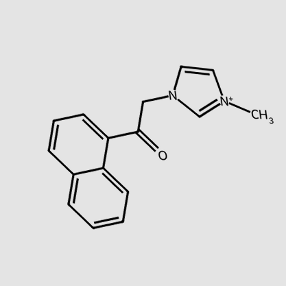 C[n+]1ccn(CC(=O)c2cccc3ccccc23)c1